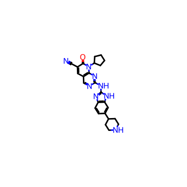 N#Cc1cc2cnc(Nc3nc4ccc(C5CCNCC5)cc4[nH]3)nc2n(C2CCCC2)c1=O